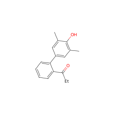 CCC(=O)c1ccccc1-c1cc(C)c(O)c(C)c1